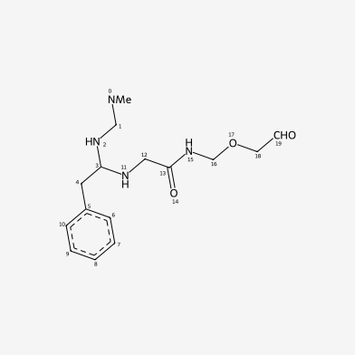 CNCNC(Cc1ccccc1)NCC(=O)NCOCC=O